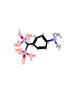 CC(=O)N(C)c1ccc(C(P(=O)(O)O)P(=O)(O)O)cc1